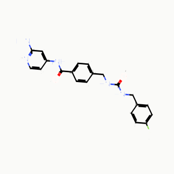 Nc1cc(NC(=O)c2ccc(CNC(=O)NCc3ccc(F)cc3)cc2)ccn1